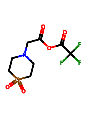 O=C(CN1CCS(=O)(=O)CC1)OC(=O)C(F)(F)F